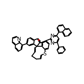 C1=C/Sc2ccccc2C2(/C=C/CC/1)c1cc(-c3nc(-c4ccccc4)cc(-c4cccc5ccccc45)n3)ccc1-c1ccc(-c3cccc4cccnc34)cc12